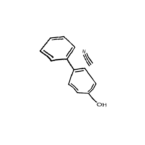 C#N.Oc1ccc(-c2ccccc2)cc1